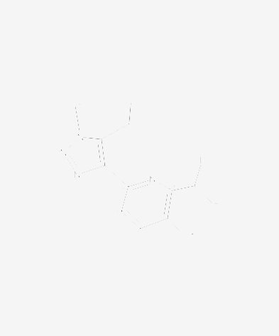 CC(=O)Oc1ccc(-c2nnn(C)c2CO)nc1C(F)F